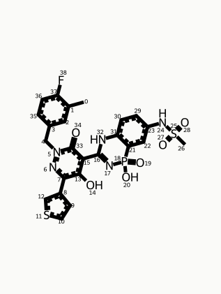 Cc1cc(Cn2nc(-c3ccsc3)c(O)c(C3=NP(=O)(O)c4cc(NS(C)(=O)=O)ccc4N3)c2=O)ccc1F